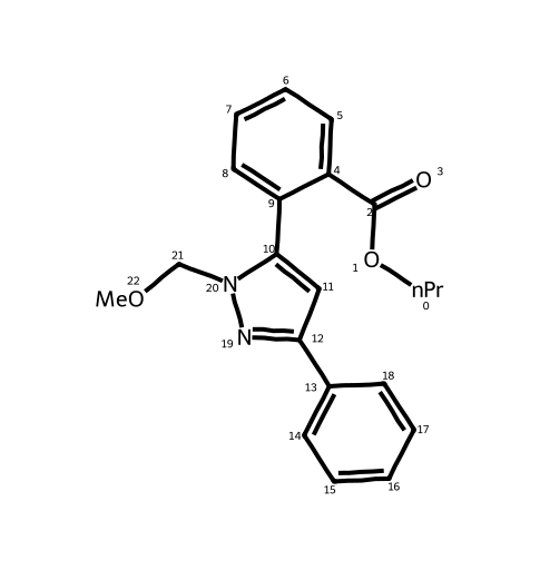 CCCOC(=O)c1ccccc1-c1cc(-c2ccccc2)nn1COC